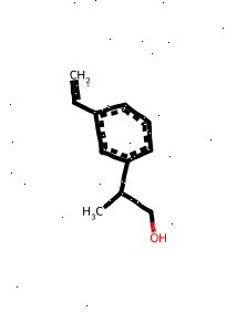 C=Cc1cccc(C(C)CO)c1